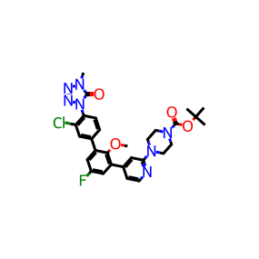 COc1c(-c2ccnc(N3CCN(C(=O)OC(C)(C)C)CC3)c2)cc(F)cc1-c1ccc(-n2nnn(C)c2=O)c(Cl)c1